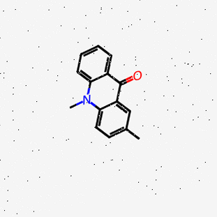 Cc1ccc2c(c1)c(=O)c1ccccc1n2C